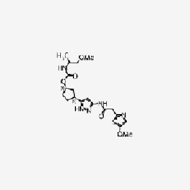 COCC(C)NC(=O)O[C@@H]1CC[C@H](c2cc(NC(=O)Cc3ncc(OC)s3)n[nH]2)C1